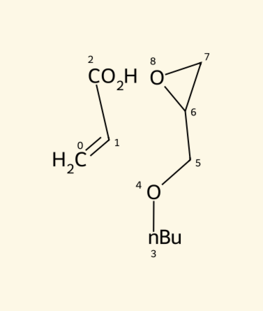 C=CC(=O)O.CCCCOCC1CO1